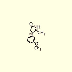 C[C@@H]1NC(=O)C[C@@H]1c1cccc(OC(F)(F)F)c1